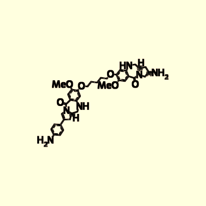 COc1cc2c(cc1OCCCCCOc1cc3c(cc1OC)C(=O)N1C[C@H](N)C[C@H]1CN3)NC[C@@H]1CC(c3ccc(N)cc3)=CN1C2=O